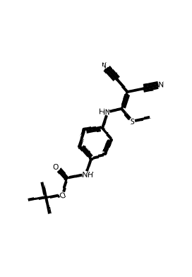 CSC(Nc1ccc(NC(=O)OC(C)(C)C)cc1)=C(C#N)C#N